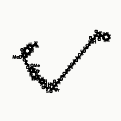 COc1cc2c(cc1OCCCOc1cc3c(cc1OC)C(=O)N1C=C(c4ccc(NC(=O)[C@H](C)NC(=O)C(C(=N)CC(=O)CCOCCOCCOCCOCCOCCOCCOCCOCCNC(=O)CCN5C(=O)CC(C6=C/C=C\C=C/C=C\6)C5=O)C(C)C)cc4)C[C@H]1C=N3)/C=C\[C@@H]1CC(C3CC3)=CC=C1CC2=O